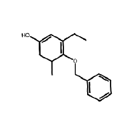 CCC1=C(OCc2ccccc2)C(C)CC(O)=C1